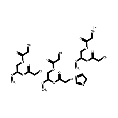 C1=NC=NC1.COC(COC(=O)CO)OC(=O)CO.COC(COC(=O)CO)OC(=O)CO.COC(COC(=O)CO)OC(=O)CO.[La]